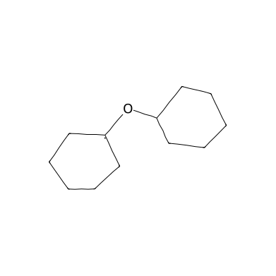 C1CC[C](OC2CCCCC2)CC1